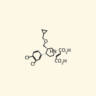 Clc1ccc([C@H]2CCNC[C@@H]2COCC2CC2)cc1Cl.O=C(O)/C=C/C(=O)O